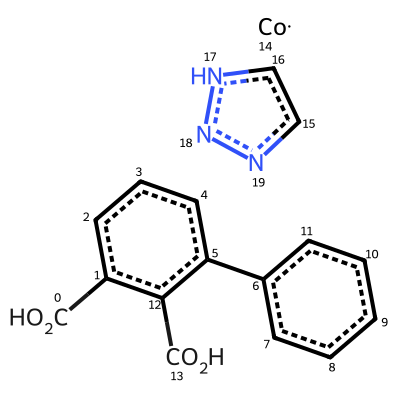 O=C(O)c1cccc(-c2ccccc2)c1C(=O)O.[Co].c1c[nH]nn1